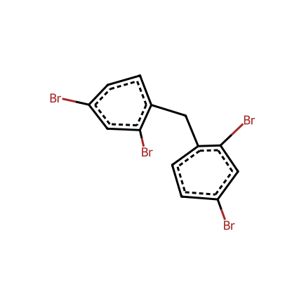 Brc1ccc(Cc2ccc(Br)cc2Br)c(Br)c1